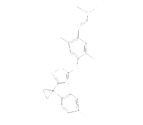 CCN(C)/C=N/c1cc(C)c(Oc2nc(C3(c4ccc(Cl)cc4)CC3)ns2)cc1C